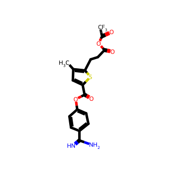 Cc1cc(C(=O)Oc2ccc(C(=N)N)cc2)sc1CCC(=O)OC(=O)C(F)(F)F